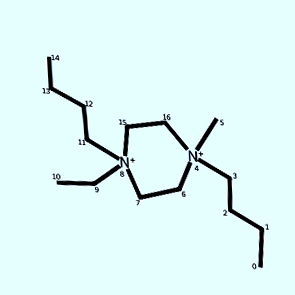 CCCC[N+]1(C)CC[N+](CC)(CCCC)CC1